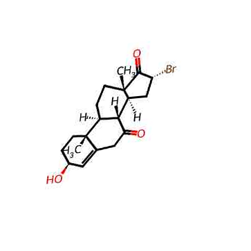 C[C@]12CC[C@H](O)C=C1CC(=O)[C@@H]1[C@@H]2CC[C@]2(C)C(=O)[C@H](Br)C[C@@H]12